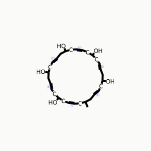 CC1C/C=C\CC(O)C/C=C/CC(O)C/C=C/CC(O)C/C=C\CC(O)C/C=C/CC(O)C/C=C/C1